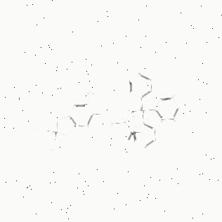 Nc1cc2c(cc1OCC(NC(c1ccccc1)(c1ccccc1)c1ccccc1)C(=O)O)OC(F)(F)O2